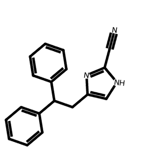 N#Cc1nc(CC(c2ccccc2)c2ccccc2)c[nH]1